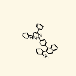 CC(C)C1=C(c2ccc3ccccc3c2C2=CC=C(C3=NC(c4ccccc4)=CC(C4=CCCCC4)N3)CC2)CCC=C1